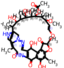 CO[C@H]1/C=C/O[C@@]2(C)Oc3c(C)c(O)c4c(c3C2=O)C(O)C(/C=N/N2CCNCC2)=C(NC(=O)/C(C)=C\C=C\[C@@H](C)[C@@H](O)[C@@H](C)[C@H](O)[C@@H](C)[C@H](OC(C)=O)[C@@H]1C)C4=O